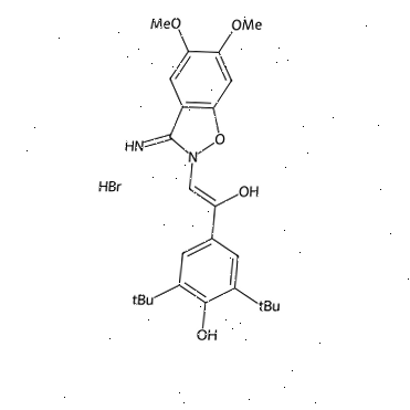 Br.COc1cc2on(C=C(O)c3cc(C(C)(C)C)c(O)c(C(C)(C)C)c3)c(=N)c2cc1OC